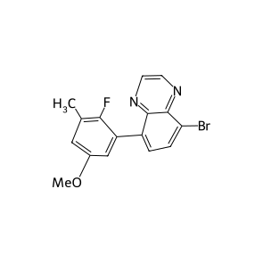 COc1cc(C)c(F)c(-c2ccc(Br)c3nccnc23)c1